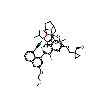 COCOc1cc(-c2ncc3c(N4CC5CCC(C4)N5C(=O)OC(C)(C)C)nc(OCC4(C=O)CC4)nc3c2F)c2c(C#C[Si](C(C)C)(C(C)C)C(C)C)cccc2c1